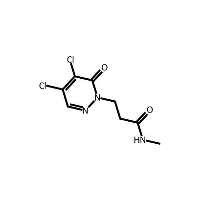 CNC(=O)CCn1ncc(Cl)c(Cl)c1=O